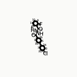 O=C(NNC(=O)c1c(F)cccc1F)c1ccc(-c2ccc(Cl)cc2)cc1